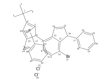 CC(C)(C)C1=C2C(c3ccc(Br)c4c3C=CC4c3ccccc3)[C]([Zr+2])=C1P2c1ccccc1.[Cl-].[Cl-]